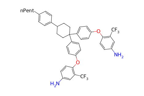 CCCCCc1ccc(C2CCC(c3ccc(Oc4ccc(N)cc4C(F)(F)F)cc3)(c3ccc(Oc4ccc(N)cc4C(F)(F)F)cc3)CC2)cc1